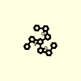 c1ccc(-c2cccc3c2oc2c(-c4cc(-c5cccc6c5oc5c(-c7ccccc7)cccc56)c5sc6c(-c7ccccc7)cccc6c5c4)cccc23)cc1